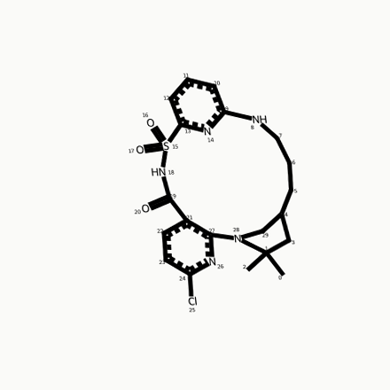 CC1(C)CC2CCCNc3cccc(n3)S(=O)(=O)NC(=O)c3ccc(Cl)nc3N1C2